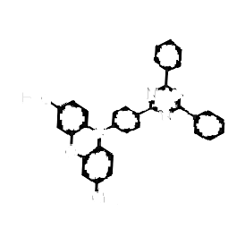 Cc1ccc2c(c1)Oc1cc(C)ccc1N2c1ccc(-c2nc(-c3ccccc3)nc(-c3ccccc3)n2)cc1